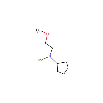 COCCN(S)C1CCCC1